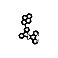 c1cc2ccc3ccc(-c4ccc5c(c4)c4ccccc4c4nc6c7cccnc7c7ncccc7c6n54)c4ccc(c1)c2c34